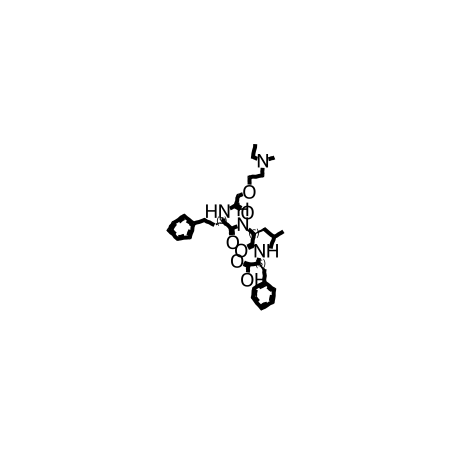 CCN(C)CCOCC(=O)N[C@@H](CCc1ccccc1)C(=O)N[C@@H](CC(C)C)C(=O)N[C@@H](Cc1ccccc1)C(=O)O